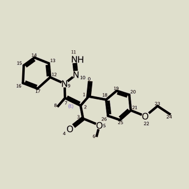 C=C(/C(C(=O)OC)=C(/C)N(N=N)c1ccccc1)c1ccc(OCC)cc1